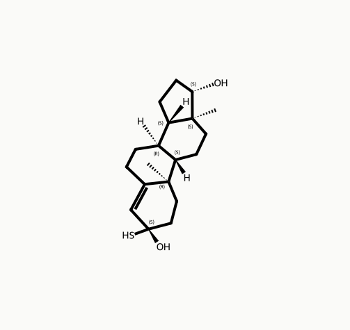 C[C@]12CC[C@H]3[C@@H](CCC4=C[C@@](O)(S)CC[C@@]43C)[C@@H]1CC[C@@H]2O